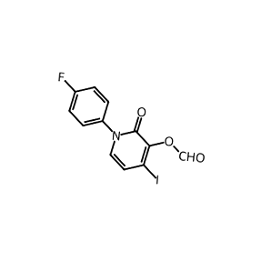 O=COc1c(I)ccn(-c2ccc(F)cc2)c1=O